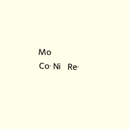 [Co].[Mo].[Ni].[Re]